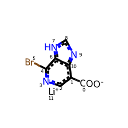 O=C([O-])c1cnc(Br)c2[nH]cnc12.[Li+]